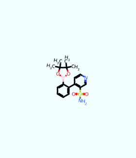 CC1(C)OB(c2ccccc2-c2ccncc2S(N)(=O)=O)OC1(C)C